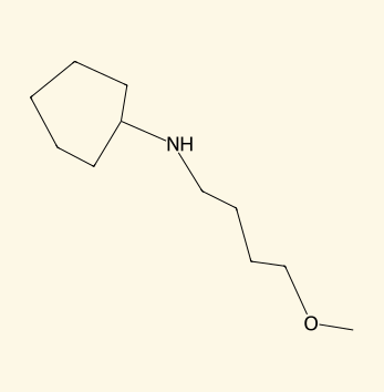 COCCCCNC1CCCCC1